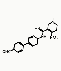 CNC1=C(C(=N)NC2C=CC(C3=CCC(C=O)C=C3)=CC2)CNCC1